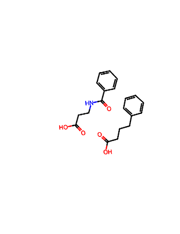 O=C(O)CCCc1ccccc1.O=C(O)CCNC(=O)c1ccccc1